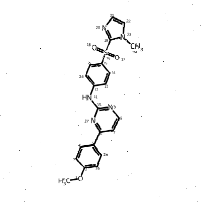 COc1ccc(-c2ccnc(Nc3ccc(S(=O)(=O)c4nccn4C)cc3)n2)cc1